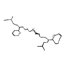 CC(C)CCC(CCCCSCCCCC(CCC(C)C)C1CCCCO1)C1CCCCO1